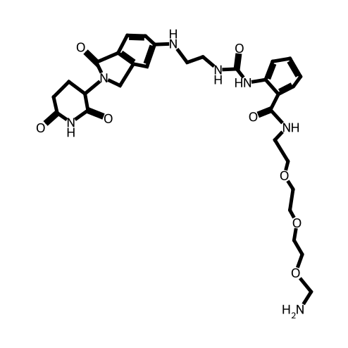 NCOCCOCCOCCNC(=O)c1ccccc1NC(=O)NCCNc1ccc2c(c1)CN(C1CCC(=O)NC1=O)C2=O